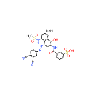 CS(=O)(=O)Nc1cccc2c(O)c(NC(=O)c3cccc(S(=O)(=O)O)c3)cc(N=Nc3ccc(C#N)c(C#N)c3)c12.[NaH]